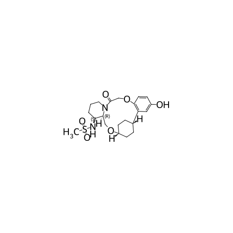 CS(=O)(=O)N[C@H]1CCCN2C(=O)COc3ccc(O)cc3[C@H]3CC[C@H](CC3)OC[C@@H]12